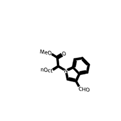 CCCCCCCCC(C(=O)OC)n1cc(C=O)c2ccccc21